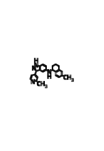 Cc1ccc2c(c1)CCC[C@@H]2Nc1ccc2[nH]nc(-c3ccnc(C)c3)c2c1